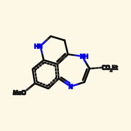 CCOC(=O)C1=CN=c2cc(OC)cc3c2=C(CCN3)N1